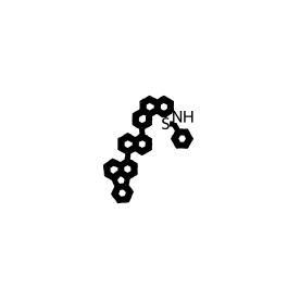 c1ccc(C2Nc3ccc4ccc5ccc(-c6cccc7c(-c8ccc9c%10c(cccc8%10)-c8ccccc8-9)cccc67)cc5c4c3S2)cc1